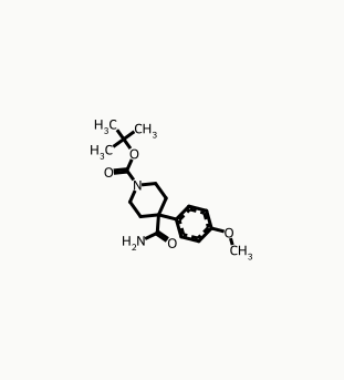 COc1ccc(C2(C(N)=O)CCN(C(=O)OC(C)(C)C)CC2)cc1